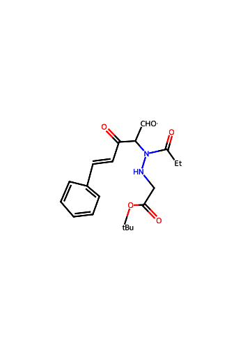 CCC(=O)N(NCC(=O)OC(C)(C)C)C([C]=O)C(=O)C=Cc1ccccc1